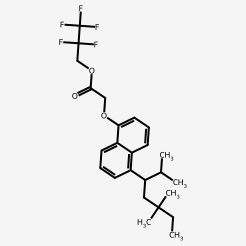 CCC(C)(C)CC(c1cccc2c(OCC(=O)OCC(F)(F)C(F)(F)F)cccc12)C(C)C